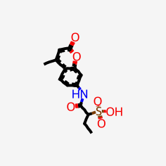 CCC(C(=O)Nc1ccc2c(C)cc(=O)oc2c1)S(=O)(=O)O